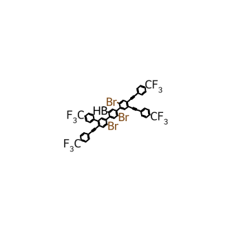 CBc1cc(-c2cc(C#Cc3ccc(C(F)(F)F)cc3)c(C#Cc3ccc(C(F)(F)F)cc3)cc2Br)c(Br)cc1-c1cc(-c2ccc(C(F)(F)F)cc2)c(C#Cc2ccc(C(F)(F)F)cc2)cc1Br